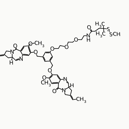 C/C=C1\C[C@H]2C=Nc3cc(OCc4cc(COc5cc6c(cc5OC)C(=O)N5C/C(=C/C)C[C@H]5C=N6)cc(OCCOCCOCCNC(=O)CCC(C)(C)SSC)c4)c(OC)cc3C(=O)N2C1